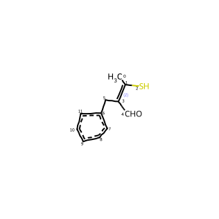 C/C(S)=C(/C=O)Cc1ccccc1